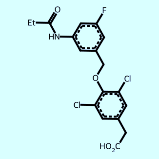 CCC(=O)Nc1cc(F)cc(COc2c(Cl)cc(CC(=O)O)cc2Cl)c1